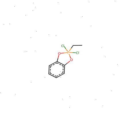 CCP1(Cl)(Cl)Oc2ccccc2O1